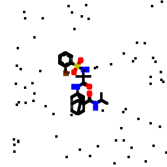 CC(C)NC(=O)C12CC3CC(CC(NC(=O)C(C)(C)NS(=O)(=O)c4ccccc4Br)(C3)C1)C2